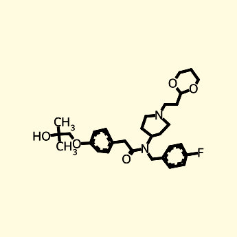 CC(C)(O)COc1ccc(CC(=O)N(Cc2ccc(F)cc2)C2CCN(CCC3OCCCO3)CC2)cc1